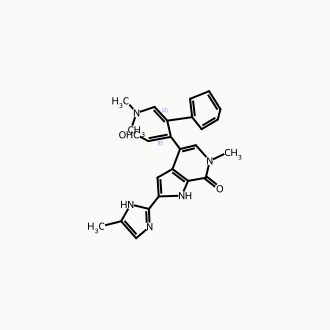 Cc1cnc(-c2cc3c(C(=C/C=O)/C(=C\N(C)C)c4ccccc4)cn(C)c(=O)c3[nH]2)[nH]1